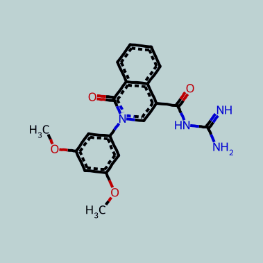 COc1cc(OC)cc(-n2cc(C(=O)NC(=N)N)c3ccccc3c2=O)c1